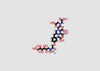 CN(CC(O)C(O)C(O)C(O)CO)C(=O)COc1ccc(CC(CN(CCN(CC(=O)O)CC(=O)O)CC(=O)O)N(CC(=O)O)CC(=O)O)cc1